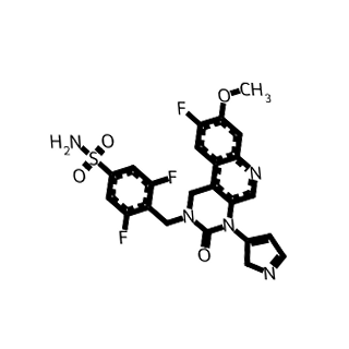 COc1cc2ncc3c(c2cc1F)CN(Cc1c(F)cc(S(N)(=O)=O)cc1F)C(=O)N3C1=CC=NC1